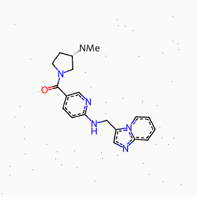 CN[C@H]1CCN(C(=O)c2ccc(NCc3cnc4ccccn34)nc2)C1